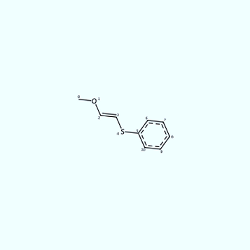 COC=CSc1ccccc1